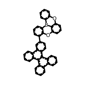 c1ccc2c(c1)Oc1cccc3c1B2c1cccc(-c2ccc4c(c2)c2ccccc2c2c5ccccc5c5ccccc5c42)c1O3